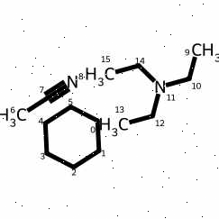 C1CCCCC1.CC#N.CCN(CC)CC